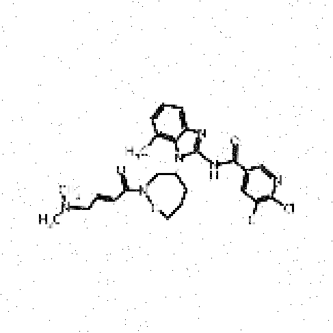 Cc1cccc2nc(NC(=O)c3cnc(Cl)c(Cl)c3)n([C@@H]3CCCCN(C(=O)/C=C/CN(C)C)C3)c12